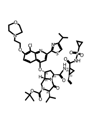 C=C[C@@H]1C[C@]1(NC(=O)[C@@H]1C[C@@H](Oc2cc(-c3nc(C(C)C)cs3)nc3c(Cl)c(OCCN4CCOCC4)ccc23)[C@H]2CN(C(=O)OC(C)(C)C)[C@H](C(C)C)C(=O)N21)C(=O)NS(=O)(=O)C1CC1